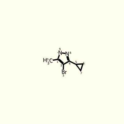 CC1=C(Br)C(C2CC2)=N[N]1